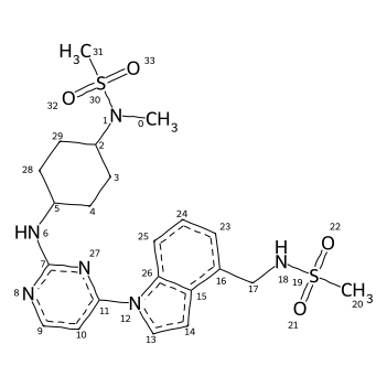 CN(C1CCC(Nc2nccc(-n3ccc4c(CNS(C)(=O)=O)cccc43)n2)CC1)S(C)(=O)=O